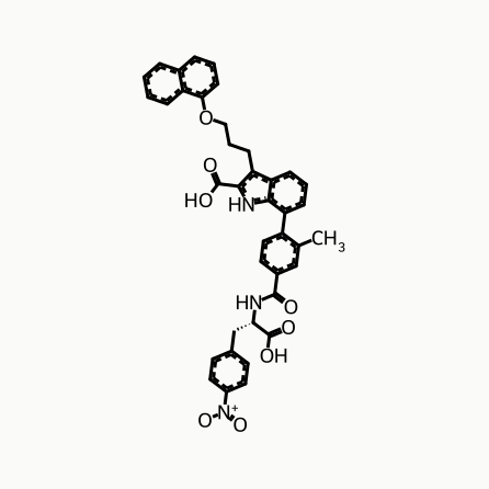 Cc1cc(C(=O)N[C@@H](Cc2ccc([N+](=O)[O-])cc2)C(=O)O)ccc1-c1cccc2c(CCCOc3cccc4ccccc34)c(C(=O)O)[nH]c12